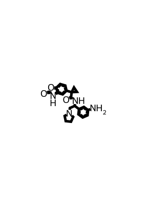 Nc1cccc(C(CN2CCCC2)NC(=O)C2(c3ccc4oc(=O)[nH]c4c3)CC2)c1